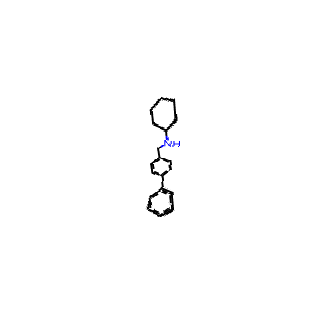 c1ccc(-c2ccc(CNC3CCCCC3)cc2)cc1